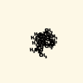 CCCC(=O)N(C)CC(=O)N(C)[C@@H](CC(C)(C)OCc1ccccc1)C(=O)N[C@H](C(=O)N(C)[C@@H](CC(C)C)C(=O)N[C@H](C)C(N)=O)C(C)C